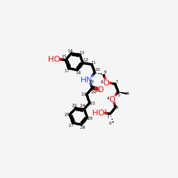 C[C@H](O)CO[C@H](C)COC[C@@H](Cc1ccc(O)cc1)NC(=O)CCc1ccccc1